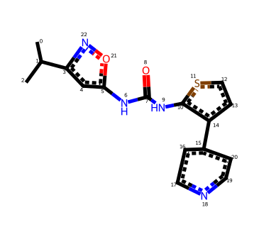 CC(C)c1cc(NC(=O)Nc2sccc2-c2ccncc2)on1